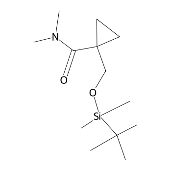 CN(C)C(=O)C1(CO[Si](C)(C)C(C)(C)C)CC1